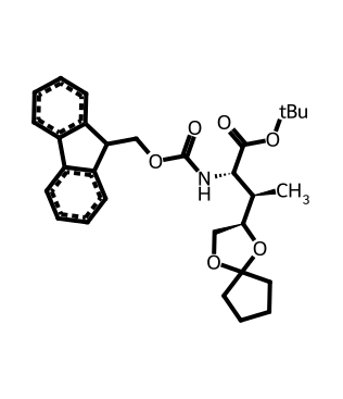 C[C@@H]([C@@H]1COC2(CCCC2)O1)[C@H](NC(=O)OCC1c2ccccc2-c2ccccc21)C(=O)OC(C)(C)C